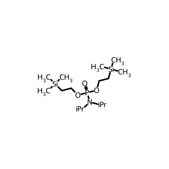 CC(C)N(C(C)C)P(=O)(OCC[Si](C)(C)C)OCC[Si](C)(C)C